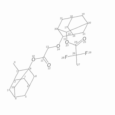 CC1C2CC3CC(C2)CC1(OC(=O)COC1C2CC4CC(C2)C(OC(=O)C(C)(F)F)C1C4)C3